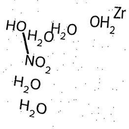 O.O.O.O.O.O=[N+]([O-])O.[Zr]